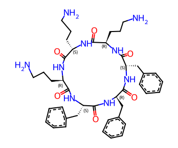 NCCC[C@@H]1NC(=O)[C@@H](CCCN)NC(=O)[C@H](Cc2ccccc2)NC(=O)[C@@H](Cc2ccccc2)NC(=O)[C@H](Cc2ccccc2)NC(=O)[C@@H](CCCN)NC1=O